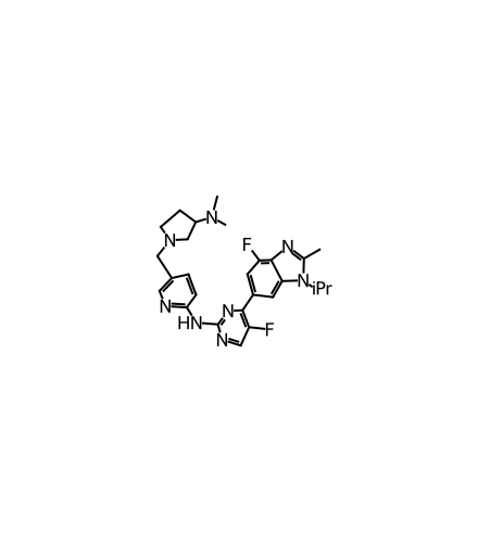 Cc1nc2c(F)cc(-c3nc(Nc4ccc(CN5CCC(N(C)C)C5)cn4)ncc3F)cc2n1C(C)C